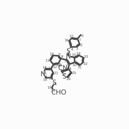 Cc1ccc(Sn2c(-c3cccc(-c4cncc(SCC=O)c4)c3)c(-c3ccsc3C#N)c3ccccc32)cc1